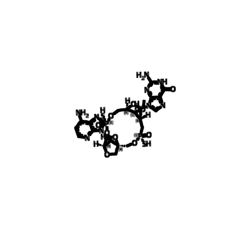 CO[C@H]1[C@H]2C[P@@](=O)(S)OC[C@@]34CO[C@@H]([C@H](n5cnc6c(N)ccnc65)O3)[C@@H]4O[P@@](=O)(S)OC[C@H]1O[C@H]2n1cnc2c(=O)[nH]c(N)nc21